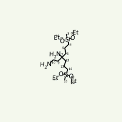 CCO[Si](C)(CCCC(N)(CCN)CCC[Si](C)(OCC)OCC)OCC